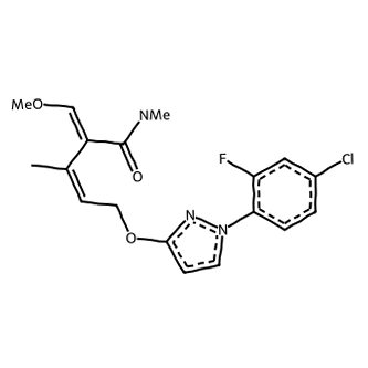 CNC(=O)C(=C/OC)/C(C)=C\COc1ccn(-c2ccc(Cl)cc2F)n1